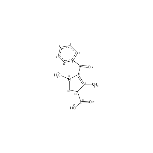 CC1=C(C(=O)c2ccccc2)N(C)CC1C(=O)O